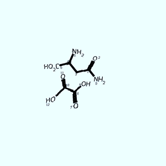 NC(=O)CC(N)C(=O)O.O=C(O)C(=O)O